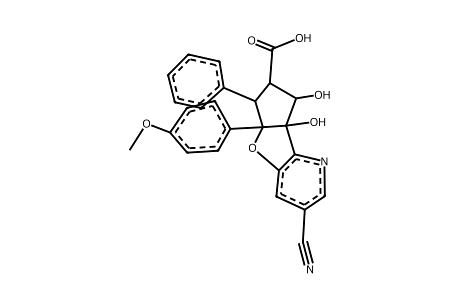 COc1ccc(C23Oc4cc(C#N)cnc4C2(O)C(O)C(C(=O)O)C3c2ccccc2)cc1